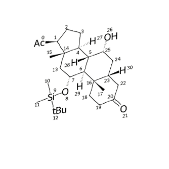 CC(=O)[C@H]1CC[C@H]2[C@H]3[C@H]([C@H](O[Si](C)(C)C(C)(C)C)C[C@]12C)[C@@]1(C)CCC(=O)C[C@H]1C[C@H]3O